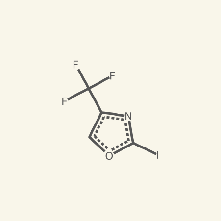 FC(F)(F)c1coc(I)n1